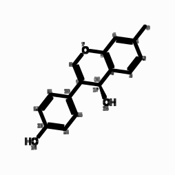 Cc1ccc2c(c1)OC=C(c1ccc(O)cc1)[C@@H]2O